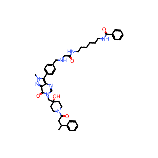 CC(CC(=O)N1CCC(O)(Cn2cnc3c(-c4ccc(CNCC(=O)NCCCCCCNC(=O)c5ccccc5)cc4)n(C)nc3c2=O)CC1)c1ccccc1